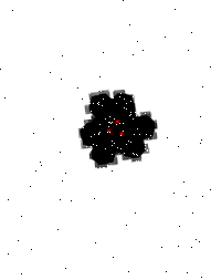 c1ccc([Si]([O][Bi]([O][Si](c2ccccc2)(c2ccccc2)c2ccccc2)[O][Si](c2ccccc2)(c2ccccc2)c2ccccc2)(c2ccccc2)c2ccccc2)cc1